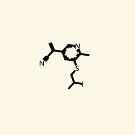 C=C(C#N)c1cnc(C)c(SCC(C)I)c1